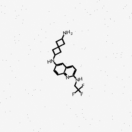 NC1CC2(C1)CC(Nc1ccc3nc(NCC(F)(F)F)ccc3c1)C2